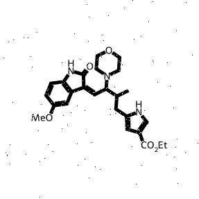 CCOC(=O)c1c[nH]c(CC(C)C(C=C2C(=O)Nc3ccc(OC)cc32)N2CCOCC2)c1